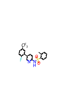 Cc1ccccc1S(=O)(=O)Nc1ccc(-c2cc(C(F)(F)F)ccc2F)cn1